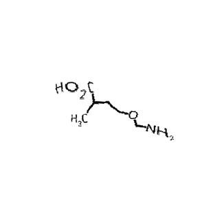 CC(CCOCN)C(=O)O